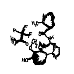 COc1c(O)ccc2c1N=C(NC(=O)c1cccnc1C)N1CCN=C21.O=C(O)C(F)(F)F